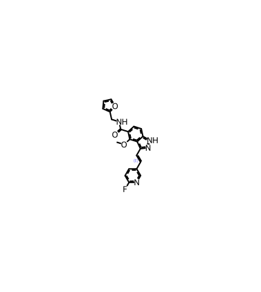 COc1c(C(=O)NCc2ccco2)ccc2[nH]nc(/C=C/c3ccc(F)nc3)c12